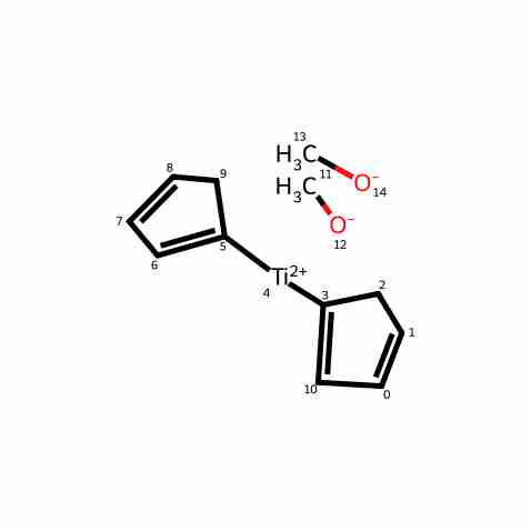 C1=CC[C]([Ti+2][C]2=CC=CC2)=C1.C[O-].C[O-]